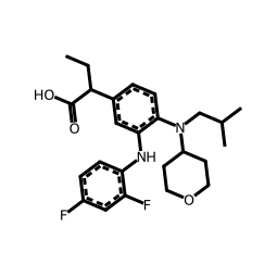 CCC(C(=O)O)c1ccc(N(CC(C)C)C2CCOCC2)c(Nc2ccc(F)cc2F)c1